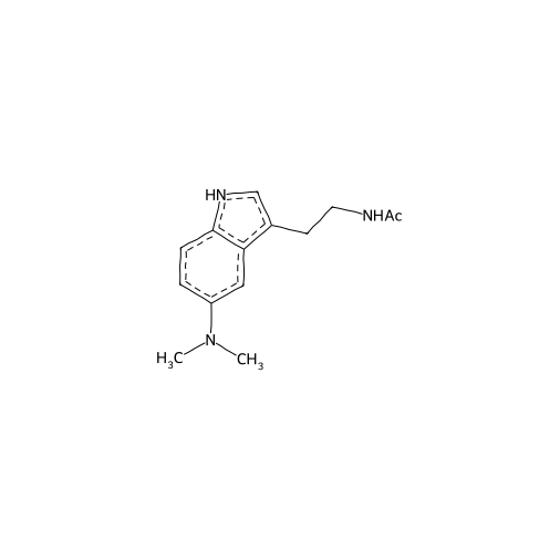 CC(=O)NCCc1c[nH]c2ccc(N(C)C)cc12